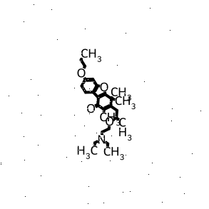 CCCOC1=Cc2oc3c(c2CC1)C(=O)C(C)=C(CC(C)OCCN(CC)CC)C3(C)C